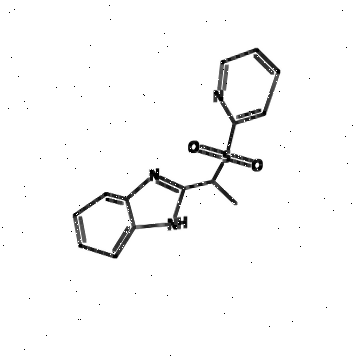 CC(c1nc2ccccc2[nH]1)S(=O)(=O)c1ccccn1